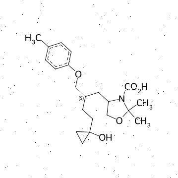 Cc1ccc(OC[C@@H](CCC2(O)CC2)CC2COC(C)(C)N2C(=O)O)cc1